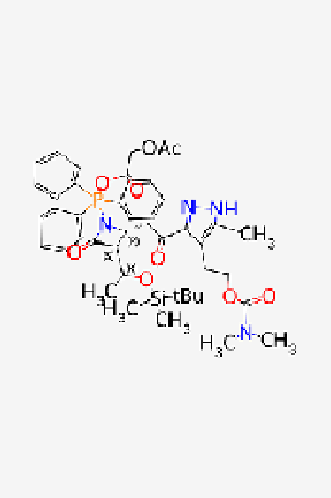 CC(=O)OCC(=O)OP(c1ccccc1)(c1ccccc1)(c1ccccc1)N1C(=O)[C@H]([C@@H](C)O[Si](C)(C)C(C)(C)C)[C@H]1CC(=O)c1n[nH]c(C)c1CCOC(=O)N(C)C